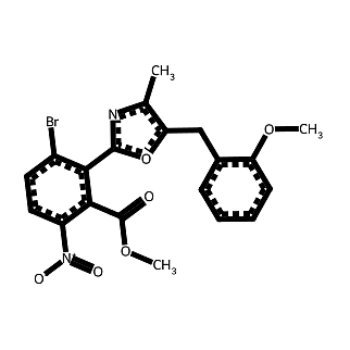 COC(=O)c1c([N+](=O)[O-])ccc(Br)c1-c1nc(C)c(Cc2ccccc2OC)o1